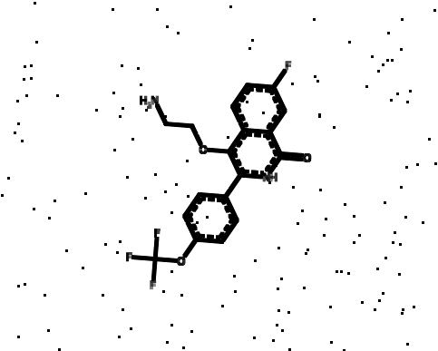 NCCOc1c(-c2ccc(OC(F)(F)F)cc2)[nH]c(=O)c2cc(F)ccc12